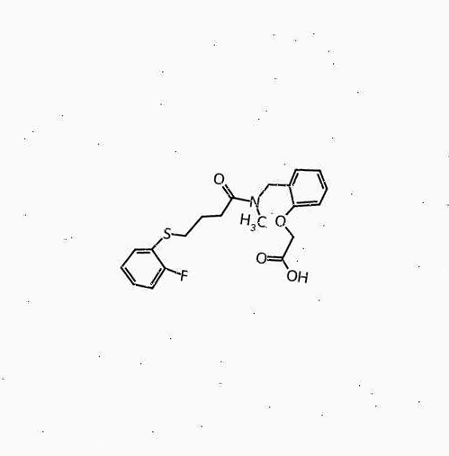 CN(Cc1ccccc1OCC(=O)O)C(=O)CCCSc1ccccc1F